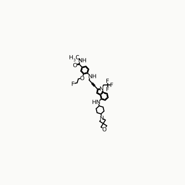 CNC(=O)c1ccc(NCC#Cc2cc3c(NC4CCC(N5CC6(COC6)C5)CC4)cccc3n2CC(F)(F)F)c(OCCF)c1